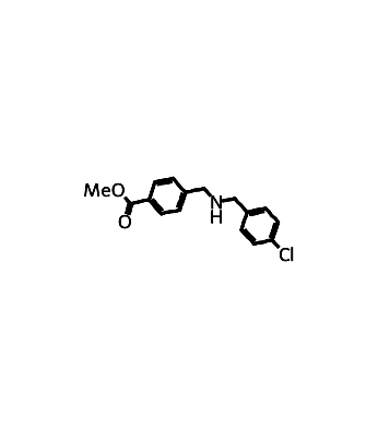 COC(=O)c1ccc(CNCc2ccc(Cl)cc2)cc1